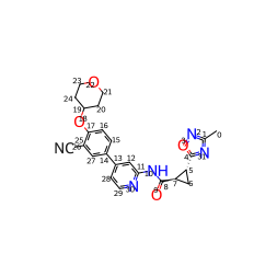 Cc1noc([C@@H]2C[C@H]2C(=O)Nc2cc(-c3ccc(OC4CCOCC4)c(C#N)c3)ccn2)n1